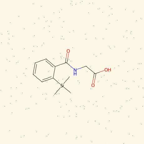 C[Si](C)(C)c1ccccc1C(=O)NCC(=O)O